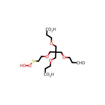 O=CCCOCC(COCCSOO)(COCCC(=O)O)COCCC(=O)O